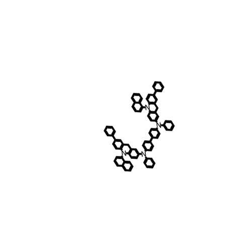 c1ccc(-c2ccc3c(c2)Cc2cc(N(c4ccccc4)c4ccc(-c5ccc(N(c6ccccc6)c6ccc7c(c6)Cc6cc(-c8ccccc8)ccc6N7c6cccc7ccccc67)cc5)cc4)ccc2N3c2cccc3ccccc23)cc1